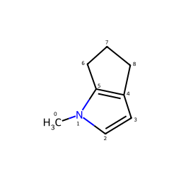 Cn1ccc2c1CCC2